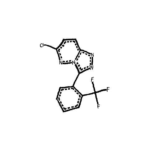 FC(F)(F)c1ccccc1-c1nnc2ccc(Cl)nn12